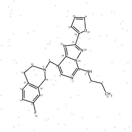 CCCNc1ncc(CN2CCc3ccc(F)cc3C2)c2nc(-c3ccco3)nn12